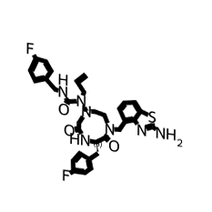 C=CCN(C(=O)NCc1ccc(F)cc1)N1CCN(Cc2cccc3sc(N)nc23)C(=O)[C@H](Cc2ccc(F)cc2)NC(=O)C1